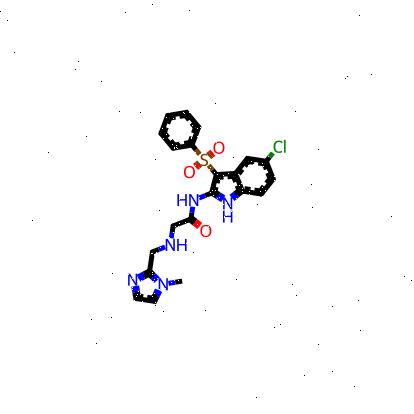 Cn1ccnc1CNCC(=O)Nc1[nH]c2ccc(Cl)cc2c1S(=O)(=O)c1ccccc1